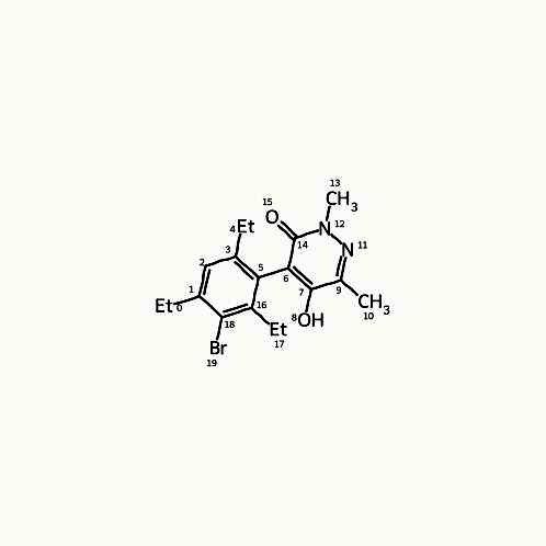 CCc1cc(CC)c(-c2c(O)c(C)nn(C)c2=O)c(CC)c1Br